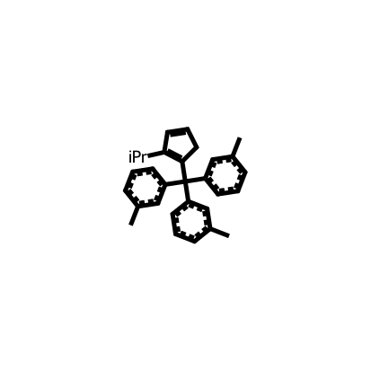 Cc1cccc(C(C2=C(C(C)C)C=CC2)(c2cccc(C)c2)c2cccc(C)c2)c1